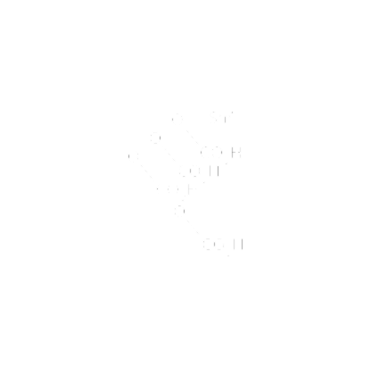 O=C([O-])O.O=C([O-])O.O=C([O-])O.O=C([O-])O.[Sn+4]